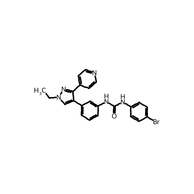 CCn1cc(-c2cccc(NC(=O)Nc3ccc(Br)cc3)c2)c(-c2ccncc2)n1